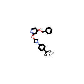 CC(=O)NC(C)c1ccc(N2CC(Oc3cc(OCc4ccccc4)ccn3)C2)cc1